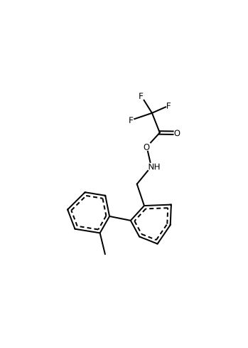 Cc1ccccc1-c1ccccc1CNOC(=O)C(F)(F)F